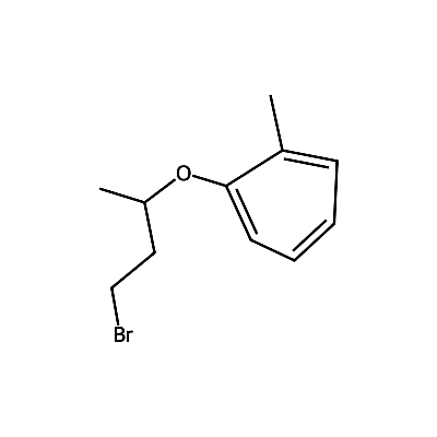 Cc1ccccc1OC(C)CCBr